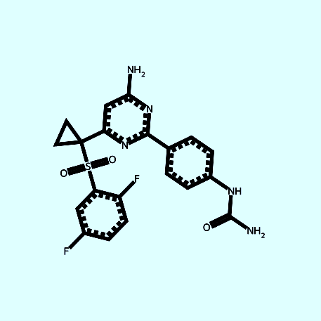 NC(=O)Nc1ccc(-c2nc(N)cc(C3(S(=O)(=O)c4cc(F)ccc4F)CC3)n2)cc1